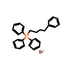 [Br-].c1ccc(CCCC[P+](c2ccccc2)(c2ccccc2)c2ccccc2)cc1